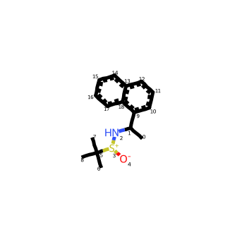 CC(N[S+]([O-])C(C)(C)C)c1cccc2ccccc12